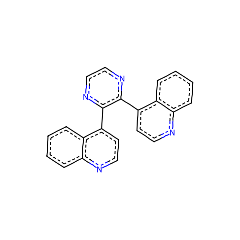 c1ccc2c(-c3nccnc3-c3ccnc4ccccc34)ccnc2c1